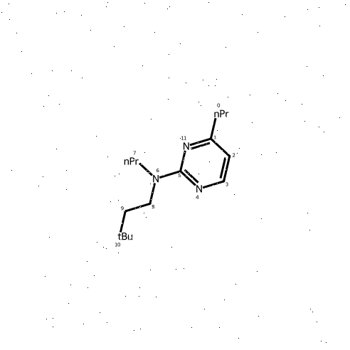 CCCc1ccnc(N(CCC)CCC(C)(C)C)n1